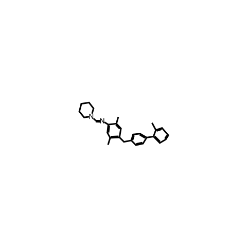 Cc1cc(N=CN2CCCCC2)c(C)cc1Cc1ccc(-c2ccccc2C)cc1